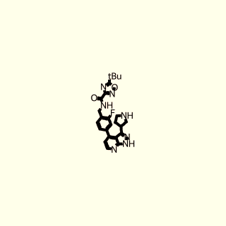 CC(C)(C)c1nc(C(=O)NCc2ccc(-c3ccnc4[nH]nc(C5CCNC5)c34)cc2F)no1